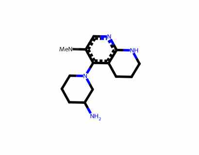 CNc1cnc2c(c1N1CCCC(N)C1)CCCN2